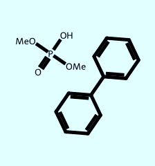 COP(=O)(O)OC.c1ccc(-c2ccccc2)cc1